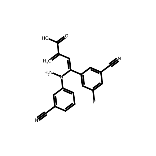 C=C(/C=C(/c1cc(F)cc(C#N)c1)N(N)c1cccc(C#N)c1)C(=O)O